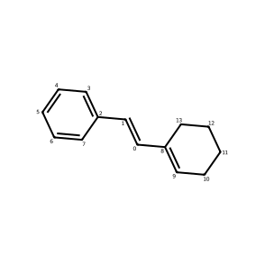 C(=Cc1ccccc1)C1=CCCCC1